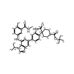 CNC(=O)c1cc(Nc2nc(-c3ccc4c(c3)NC(=O)C43CCN(C(=O)OC(C)(C)C)CC3)cc3ncn(C(C)C)c23)ccc1C